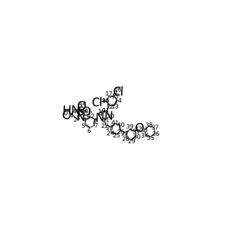 O=C1CN(c2cccc(-n3cc(-c4ccc(Cl)cc4Cl)nc3Cc3ccc(-c4cccc(OC5CCCCC5)c4)cc3)c2)S(=O)(=O)N1